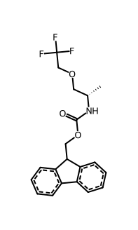 C[C@@H](COCC(F)(F)F)NC(=O)OCC1c2ccccc2-c2ccccc21